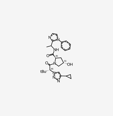 CC(NC(=O)[C@H]1C[C@H](O)CN1C(=O)[C@H](n1cc(C2CC2)nn1)C(C)(C)C)c1nccn1-c1ccccc1